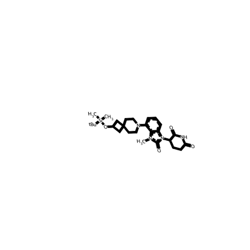 Cn1c(=O)n(C2CCC(=O)NC2=O)c2cccc(N3CCC4(CC3)CC(O[Si](C)(C)C(C)(C)C)C4)c21